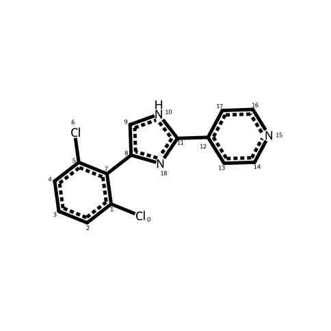 Clc1cccc(Cl)c1-c1c[nH]c(-c2ccncc2)n1